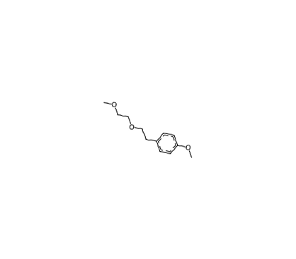 COCCOCCc1ccc(OC)cc1